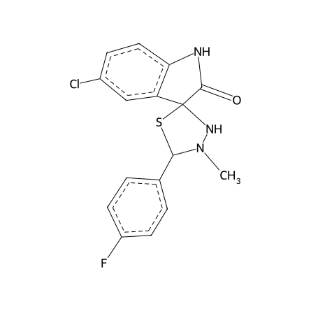 CN1NC2(SC1c1ccc(F)cc1)C(=O)Nc1ccc(Cl)cc12